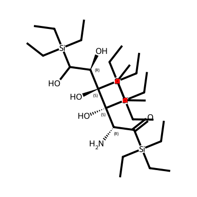 CC[Si](CC)(CC)C(=O)[C@H](N)[C@@](O)([C@](O)([C@H](O)C(O)[Si](CC)(CC)CC)[Si](CC)(CC)CC)[Si](CC)(CC)CC